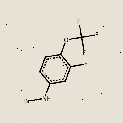 Fc1cc(NBr)ccc1OC(F)(F)F